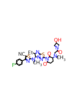 CCC1N=C2SC(N3C(=O)CCC(N(C)CC(=O)N4CC(O)C4)C3=O)=NN2C1N(C)c1nc(-c2ccc(F)cc2)c(C#N)s1